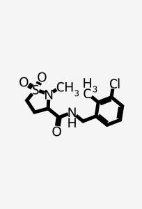 Cc1c(Cl)cccc1CNC(=O)C1CCS(=O)(=O)N1C